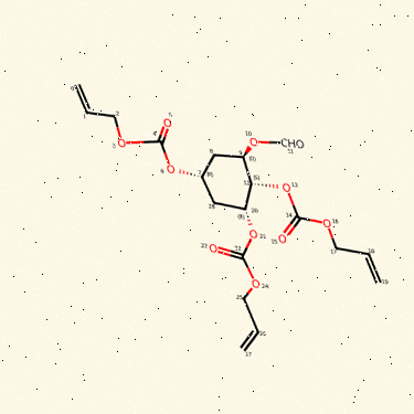 C=CCOC(=O)O[C@@H]1C[C@@H](OC=O)[C@H](OC(=O)OCC=C)[C@H](OC(=O)OCC=C)C1